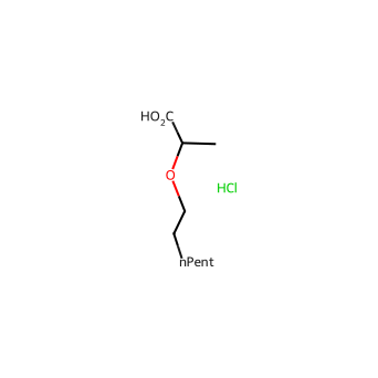 CCCCCCCOC(C)C(=O)O.Cl